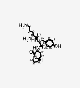 NCCC[C@@H](N)C(=O)N[C@H](Cc1ccc(O)cc1)C(=O)N[C@@H]1CC[C@@H]2CCCN2C1=O